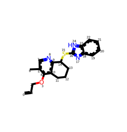 C=CCOc1c(C)cnc2c1CCCC2Sc1nc2ccccc2[nH]1